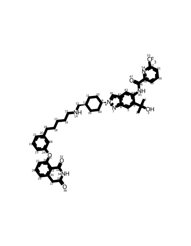 CC(C)(O)c1cc2nn([C@H]3CC[C@H](CNCCCCCc4cccc(Oc5cccc6c5C(=O)NC(=O)C6)c4)CC3)cc2cc1NC(=O)c1cccc(C(F)(F)F)n1